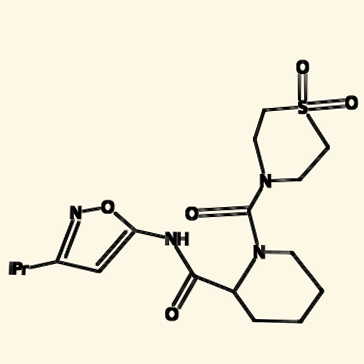 CC(C)c1cc(NC(=O)C2CCCCN2C(=O)N2CCS(=O)(=O)CC2)on1